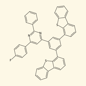 Fc1ccc(-c2cc(-c3cc(-c4cccc5c4sc4ccccc45)cc(-c4cccc5c4sc4ccccc45)c3)nc(-c3ccccc3)n2)cc1